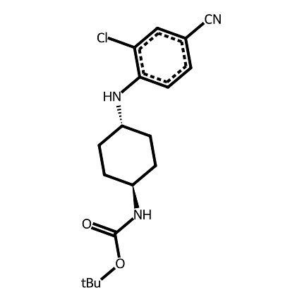 CC(C)(C)OC(=O)N[C@H]1CC[C@H](Nc2ccc(C#N)cc2Cl)CC1